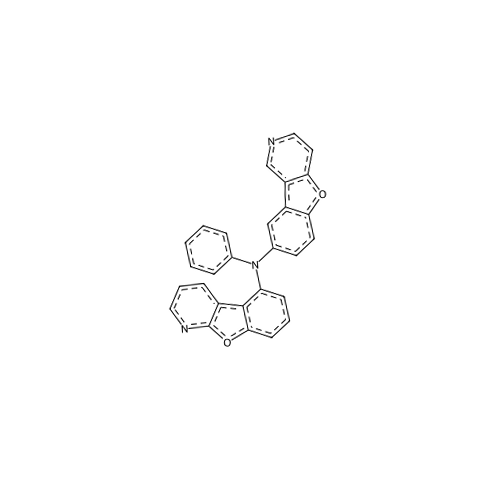 c1ccc(N(c2ccc3oc4ccncc4c3c2)c2cccc3oc4ncccc4c23)cc1